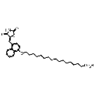 O=C(O)CCCCCCCCCCCCCCCCOc1ccc(/C=C2\SC(=O)NC2=O)c2ccccc12